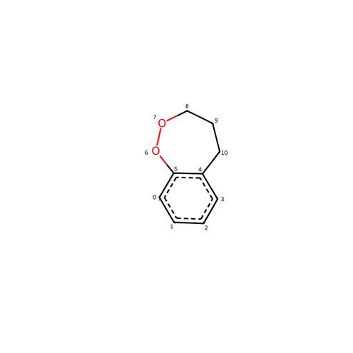 [c]1cccc2c1OOCCC2